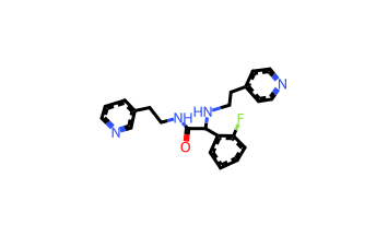 O=C(NCCc1cccnc1)C(NCCc1ccncc1)c1ccccc1F